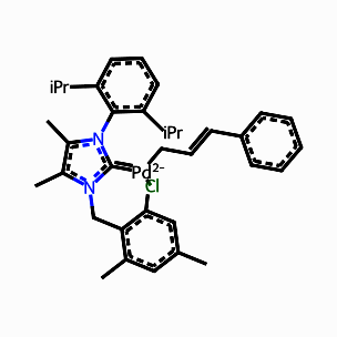 Cc1cc(C)c(Cn2c(C)c(C)n(-c3c(C(C)C)cccc3C(C)C)[c]2=[Pd-2]([Cl])[CH2]C=Cc2ccccc2)c(C)c1